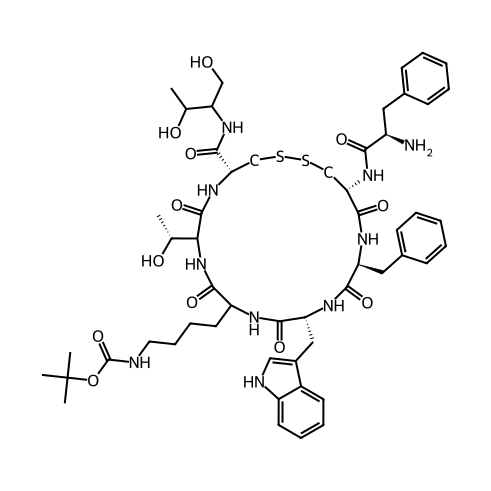 CC(O)C(CO)NC(=O)[C@@H]1CSSC[C@H](NC(=O)[C@H](N)Cc2ccccc2)C(=O)N[C@@H](Cc2ccccc2)C(=O)N[C@H](Cc2c[nH]c3ccccc23)C(=O)NC(CCCCNC(=O)OC(C)(C)C)C(=O)NC([C@@H](C)O)C(=O)N1